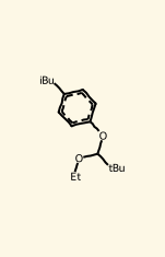 CCOC(Oc1ccc(C(C)CC)cc1)C(C)(C)C